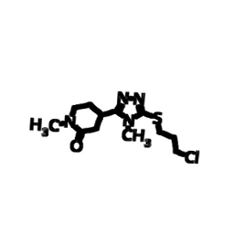 CN1CCC(c2nnc(SCCCCl)n2C)CC1=O